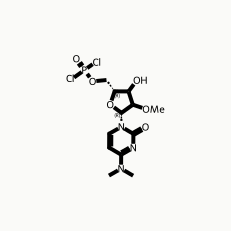 COC1C(O)[C@@H](COP(=O)(Cl)Cl)O[C@H]1n1ccc(N(C)C)nc1=O